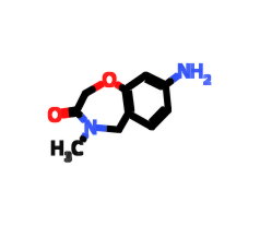 CN1Cc2ccc(N)cc2OCC1=O